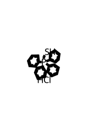 Cl.SCP(c1ccccc1)(c1ccccc1)(c1ccccc1)c1ccccc1